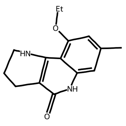 CCOc1cc(C)cc2[nH]c(=O)c3c(c12)NCCC3